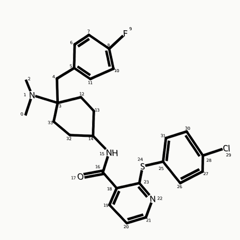 CN(C)C1(Cc2ccc(F)cc2)CCC(NC(=O)c2cccnc2Sc2ccc(Cl)cc2)CC1